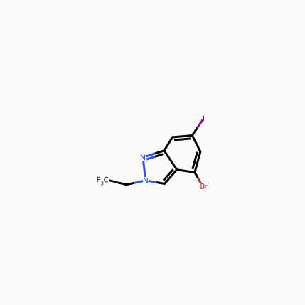 FC(F)(F)Cn1cc2c(Br)cc(I)cc2n1